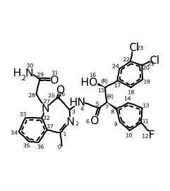 CC1=NC(NC(=O)[C@H](c2ccc(F)cc2)[C@@H](O)c2ccc(Cl)c(Cl)c2)C(=O)N(CC(N)=O)c2ccccc21